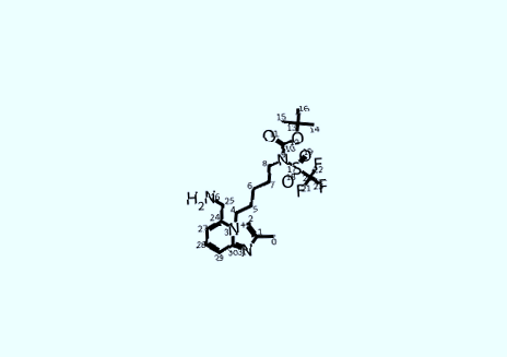 CC1=C[N+]2(CCCCCN(C(=O)OC(C)(C)C)S(=O)(=O)C(F)(F)F)C(CN)=CC=CC2=N1